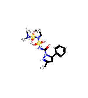 CCN(S(=O)(=O)NC(=O)N1N=C(C)CC1c1ccccc1)S(=O)(=O)N(C)C